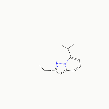 CCc1cc2cccc(C(C)C)n2n1